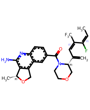 C=C(/C=C(\C(F)=C/C)C(F)(F)F)[C@@H]1COCCN1C(=O)c1ccc2nc(N)c3c(c2c1)CO[C@@H]3C